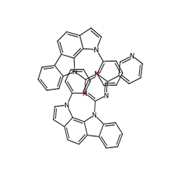 c1ccc(-n2ccc3ccc4c5ccccc5n(-c5nc(-c6cccnc6)nc(-n6c7ccccc7c7ccc8ccn(-c9ccccc9)c8c76)n5)c4c32)cc1